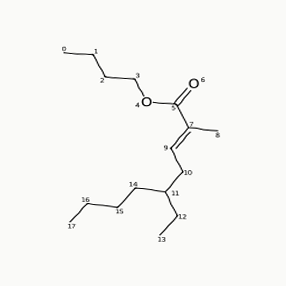 CCCCOC(=O)C(C)=CCC(CC)CCCC